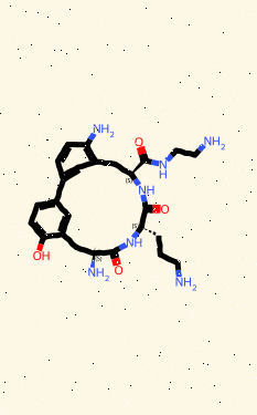 NCCC[C@@H]1NC(=O)[C@@H](N)Cc2cc(ccc2O)-c2ccc(N)c(c2)C[C@@H](C(=O)NCCN)NC1=O